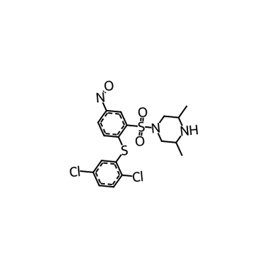 CC1CN(S(=O)(=O)c2cc(N=O)ccc2Sc2cc(Cl)ccc2Cl)CC(C)N1